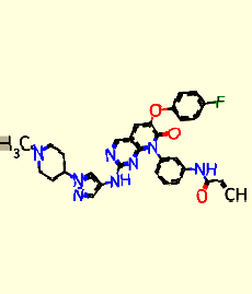 C=CC(=O)Nc1cccc(-n2c(=O)c(Oc3ccc(F)cc3)cc3cnc(Nc4cnn(C5CCN(C)CC5)c4)nc32)c1